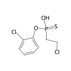 OP(=S)(CCCl)Oc1ccccc1Cl